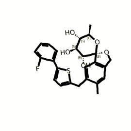 Cc1cc2c(cc1Cc1ccc(-c3ccccc3F)s1)[C@]1(OC2)O[C@H](C)[C@@H](O)[C@H](O)[C@H]1O